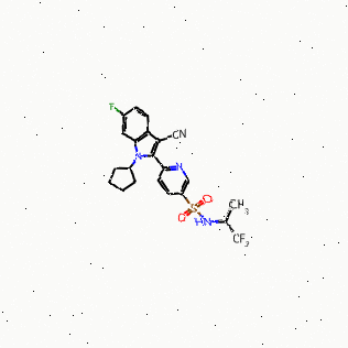 C[C@H](NS(=O)(=O)c1ccc(-c2c(C#N)c3ccc(F)cc3n2C2CCCC2)nc1)C(F)(F)F